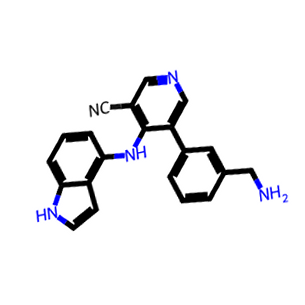 N#Cc1cncc(-c2cccc(CN)c2)c1Nc1cccc2[nH]ccc12